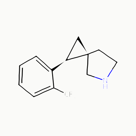 FC(F)(F)c1ccccc1[C@H]1C[C@]12CCNC2